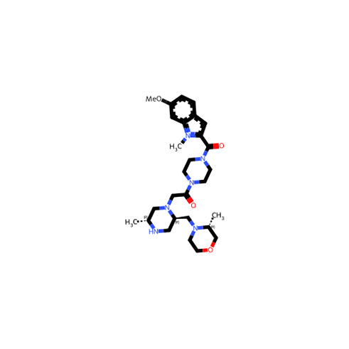 COc1ccc2cc(C(=O)N3CCN(C(=O)CN4C[C@@H](C)NC[C@@H]4CN4CCOC[C@H]4C)CC3)n(C)c2c1